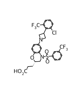 O=C(O)CC[C@H]1CN(S(=O)(=O)c2cccc(C(F)(F)F)c2)c2cc(N3CC(c4c(Cl)cccc4C(F)(F)F)C3)ccc2O1